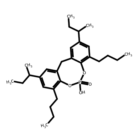 CCCCc1cc(C(C)CC)cc2c1OP(=O)(O)Oc1c(CCCC)cc(C(C)CC)cc1C2